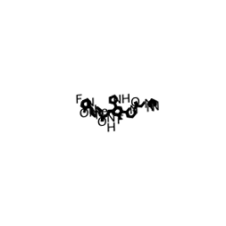 COc1cc(F)cnc1N1CCN(C(=O)c2cc3c(C4CCCN4)cc(C4=CCCN(C(=O)CCn5ccnn5)C4)c(F)c3[nH]2)CC1